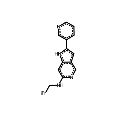 CC(C)CNc1cc2[nH]c(-c3cccnc3)cc2cn1